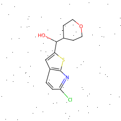 OC(c1cc2ccc(Cl)nc2s1)C1CCOCC1